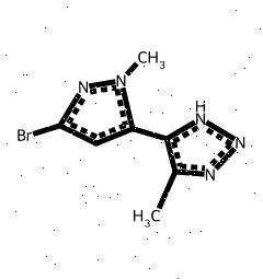 Cc1nn[nH]c1-c1cc(Br)nn1C